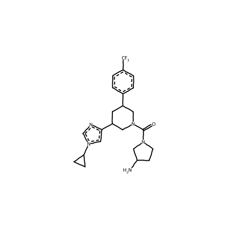 NC1CCN(C(=O)N2CC(c3ccc(C(F)(F)F)cc3)CC(c3cn(C4CC4)cn3)C2)C1